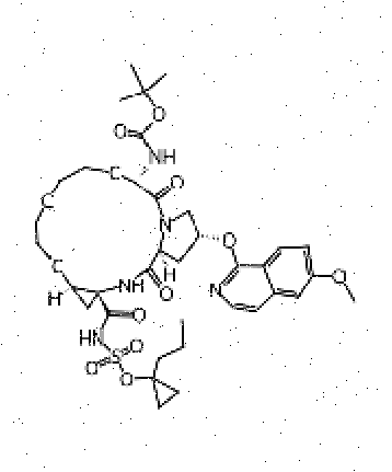 CCCC1(OS(=O)(=O)NC(=O)[C@@]23C[C@H]2CCCCCCC[C@H](NC(=O)OC(C)(C)C)C(=O)N2C[C@H](Oc4nccc5cc(OC)ccc45)C[C@H]2C(=O)N3)CC1